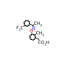 C/C(=N/Oc1cccc(CC(=O)O)c1C)c1cccc(C(F)(F)F)c1